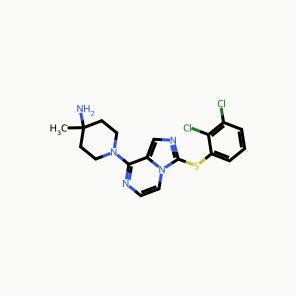 CC1(N)CCN(c2nccn3c(Sc4cccc(Cl)c4Cl)ncc23)CC1